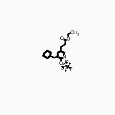 CCOC(=O)CCc1cnc(OS(=O)(=O)C(F)(F)F)c(Cc2ccccc2)c1